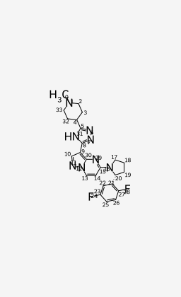 CN1CCC(c2nnc(-c3cnn4ccc(N5CCC[C@@H]5c5cc(F)ccc5F)nc34)[nH]2)CC1